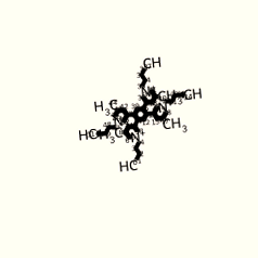 C#CCCC[n+]1cc(C)cc(-c2cc(-c3cc(C)c[n+](CCCC#C)c3)c(-c3cc(C)c[n+](CCCC#C)c3)cc2-c2cc(C)c[n+](CCCC#C)c2)c1